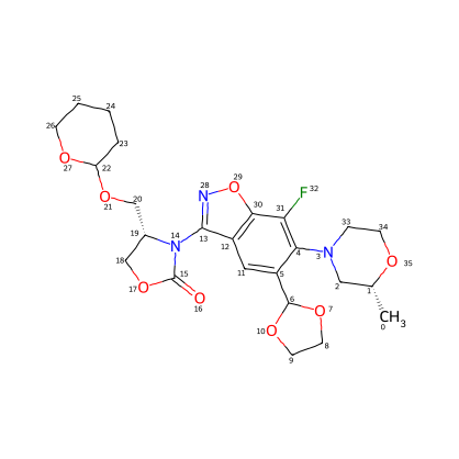 C[C@@H]1CN(c2c(C3OCCO3)cc3c(N4C(=O)OC[C@@H]4COC4CCCCO4)noc3c2F)CCO1